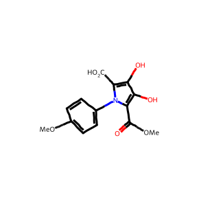 COC(=O)c1c(O)c(O)c(C(=O)O)n1-c1ccc(OC)cc1